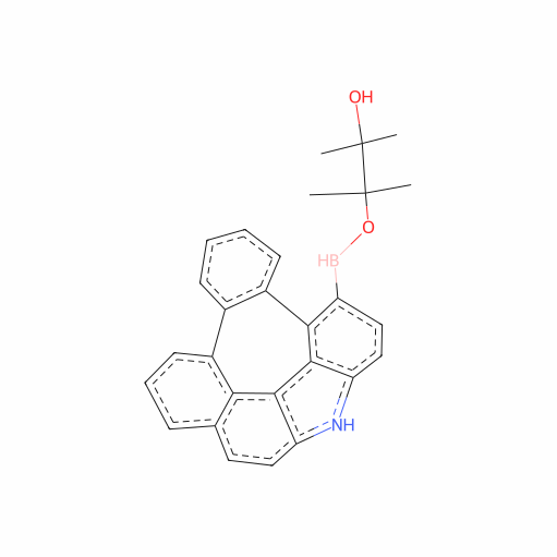 CC(C)(O)C(C)(C)OBc1ccc2[nH]c3ccc4cccc5c4c3c2c1-c1ccccc1-5